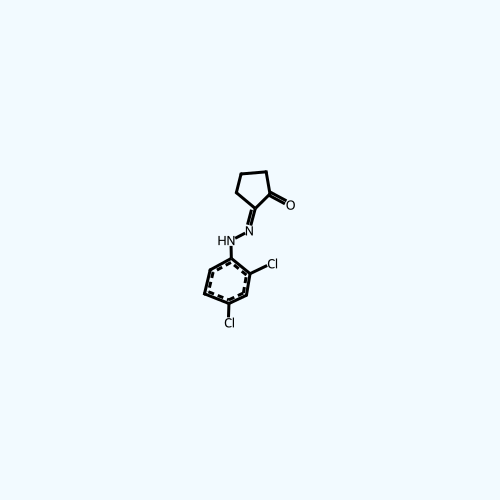 O=C1CCCC1=NNc1ccc(Cl)cc1Cl